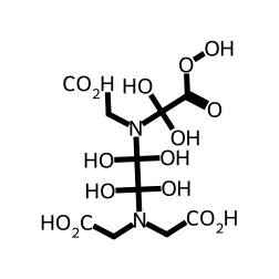 O=C(O)CN(CC(=O)O)C(O)(O)C(O)(O)N(CC(=O)O)C(O)(O)C(=O)OO